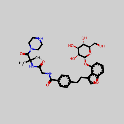 CC(C)(NC(=O)CNC(=O)c1ccc(CCc2coc3cccc(O[C@@H]4O[C@H](CO)[C@@H](O)[C@H](O)[C@H]4O)c23)cc1)C(=O)N1CCNCC1